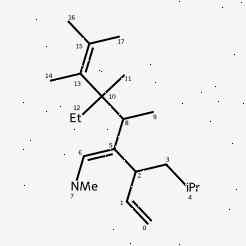 C=CC(CC(C)C)/C(=C\NC)C(C)C(C)(CC)C(C)=C(C)C